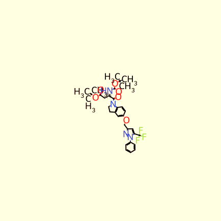 CC(C)(C)OC(=O)C[C@@H](NC(=O)OC(C)(C)C)C(=O)N1CCc2cc(OCc3cc(C(F)(F)F)n(-c4ccccc4)n3)ccc21